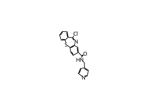 O=C(NCc1ccncc1)c1ccc2c(c1)N=C(Cl)c1ccccc1S2